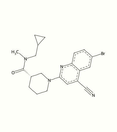 CN(CC1CC1)C(=O)[C@H]1CCCN(c2cc(C#N)c3cc(Br)ccc3n2)C1